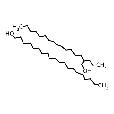 CCCCCCCCCCCCCCC(CO)CCC.CCCCCCCCCCCCCCCCCCCCO